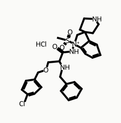 CS(=O)(=O)[N+]1(NC(=O)C(COCc2ccc(Cl)cc2)NCc2ccccc2)CC2(CCNCC2)c2ccccc21.Cl